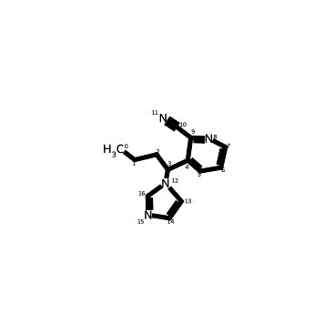 CCCC(c1cccnc1C#N)n1ccnc1